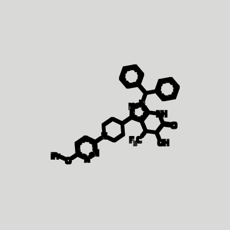 CC(C)Oc1ccc(N2CCC(c3nn(C(c4ccccc4)c4ccccc4)c4c3C(C(F)(F)F)C(O)C(=O)N4)CC2)nn1